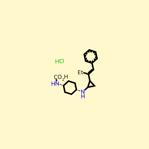 CC/C(=C\c1ccccc1)C1CC1N[C@H]1CC[C@@H](NC(=O)O)CC1.Cl